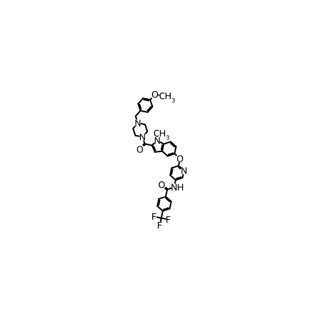 COc1ccc(CN2CCN(C(=O)c3cc4cc(Oc5ccc(NC(=O)c6ccc(C(F)(F)F)cc6)cn5)ccc4n3C)CC2)cc1